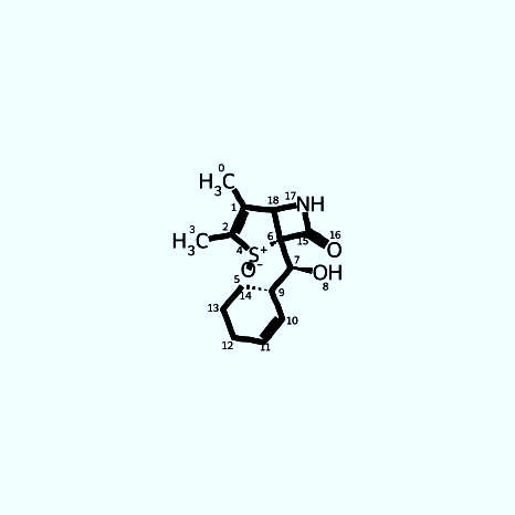 CC1=C(C)[S+]([O-])[C@@]2([C@@H](O)[C@@H]3C=CCCC3)C(=O)NC12